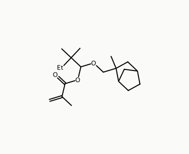 C=C(C)C(=O)OC(OCC1(C)CC2CCC1C2)C(C)(C)CC